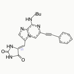 CCC(C)Nc1nc(C#Cc2ccccc2)cn2c(/C=C3\NC(=O)NC3=O)cnc12